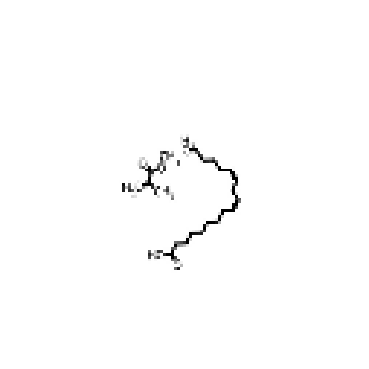 C=C(C)C(=O)OC.CCCCC/C=C\C/C=C\CCCCCCCC(=O)O